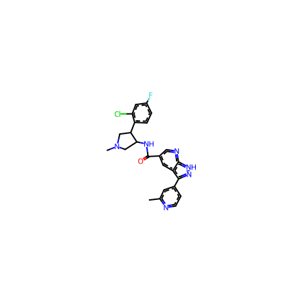 Cc1cc(-c2n[nH]c3ncc(C(=O)NC4CN(C)CC4c4ccc(F)cc4Cl)cc23)ccn1